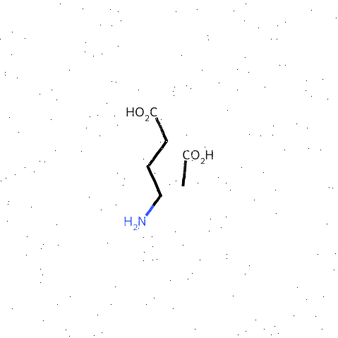 CC(=O)O.NCCCC(=O)O